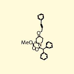 COC(=O)[C@@H]1C[C@H](OCC#Cc2ccccc2)CCN1C(=O)C(c1ccccc1)c1ccccc1